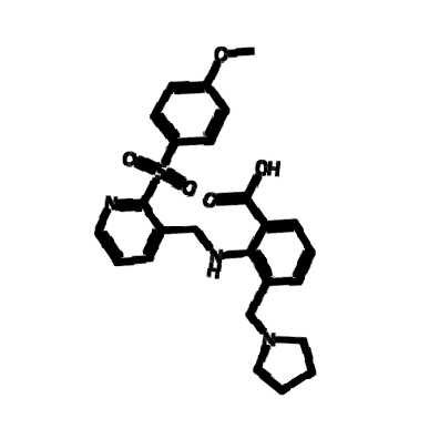 COc1ccc(S(=O)(=O)c2ncccc2CNc2c(CN3CCCC3)cccc2C(=O)O)cc1